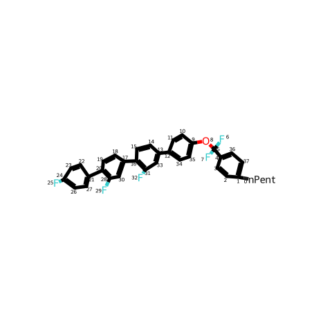 CCCCCc1ccc(C(F)(F)Oc2ccc(-c3ccc(-c4ccc(-c5ccc(F)cc5)c(F)c4)c(F)c3)cc2)cc1